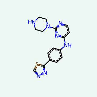 c1cc(Nc2ccc(-c3nncs3)cc2)nc(N2CCNCC2)n1